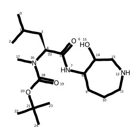 CC(C)C[C@@H](C(=O)NC1CCCNCC1O)N(C)C(=O)OC(C)(C)C